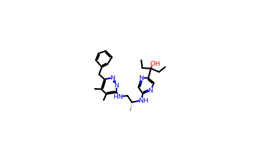 CCC(O)(CC)c1cnc(N[C@H](C)CNc2nnc(Cc3ccccc3)c(C)c2C)cn1